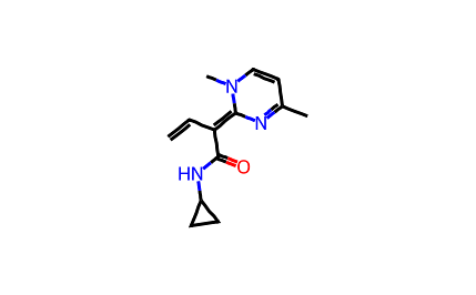 C=C/C(C(=O)NC1CC1)=C1/N=C(C)C=CN1C